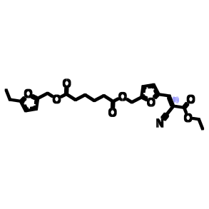 CCOC(=O)/C(C#N)=C/c1ccc(COC(=O)CCCCC(=O)OCc2ccc(CC)o2)o1